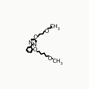 CCCOCCCCOc1cnc(-c2ccccc2OCCCCCCOCC)nc1